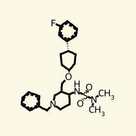 CN(C)S(=O)(=O)NC1CCN(Cc2ccccc2)CC1CO[C@H]1CC[C@@H](c2cccc(F)c2)CC1